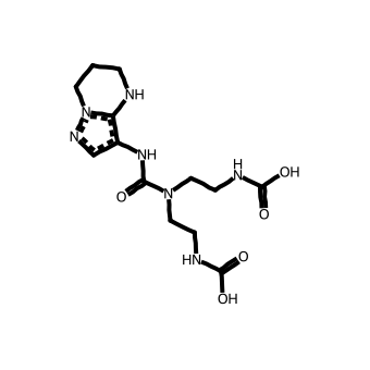 O=C(O)NCCN(CCNC(=O)O)C(=O)Nc1cnn2c1NCCC2